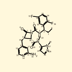 CC[C@@H](NC(=O)N1C(=O)[C@H](Cc2ccnc(N)c2)[C@H]1C(=O)N(C)c1ccnn1C)c1cc(F)ccc1F